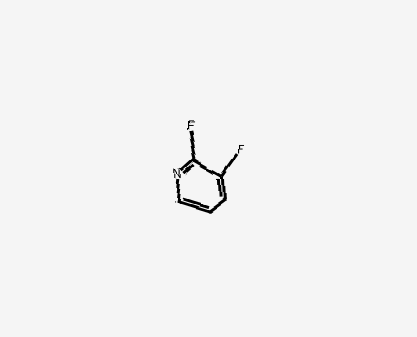 Fc1cc[c]nc1F